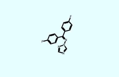 Fc1ccc(C(=Nn2cncn2)c2ccc(F)cc2)cc1